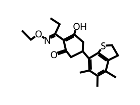 CCON=C(CC)C1=C(O)CC(c2c(C)c(C)c(C)c3c2SCC3)CC1=O